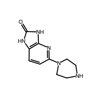 O=c1[nH]c2ccc(N3CCNCC3)nc2[nH]1